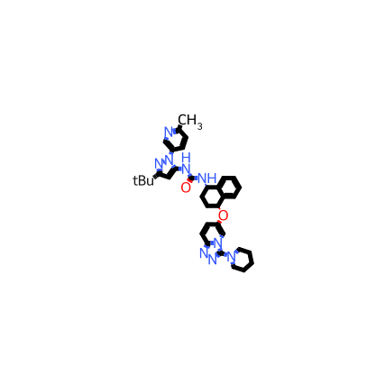 Cc1ccc(-n2nc(C(C)(C)C)cc2NC(=O)N[C@H]2CC[C@@H](Oc3ccc4nnc(N5CCCCC5)n4c3)c3ccccc32)cn1